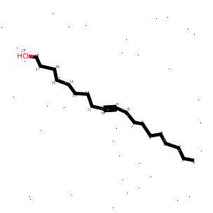 CCCCCCCCCC#CCCCCCCCCO